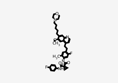 COc1cc2c(CCc3cc(C)c(NC(=O)C4(C(=O)Nc5ccc(F)cc5)CC4)cc3F)ccnc2cc1CCCCCN1CCOCC1